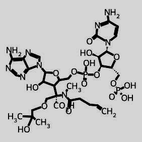 C=CCCC(=O)N(C)[C@](COCC(C)(C)O)(C(=O)O)C1C(COP(=O)(O)O[C@H]2[C@@H](O)[C@H](n3ccc(N)nc3=O)O[C@@H]2COP(=O)(O)O)OC(n2cnc3c(N)ncnc32)C1O